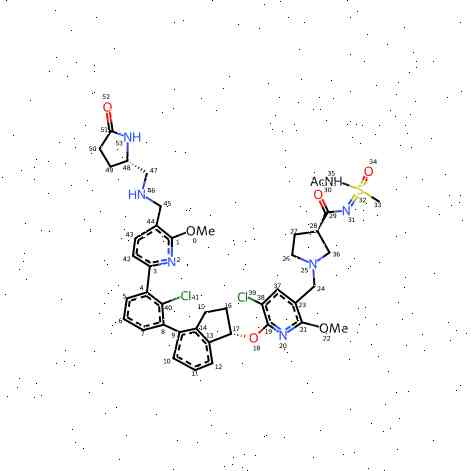 COc1nc(-c2cccc(-c3cccc4c3CC[C@@H]4Oc3nc(OC)c(CN4CC[C@@H](C(=O)N=S(C)(=O)NC(C)=O)C4)cc3Cl)c2Cl)ccc1CNC[C@@H]1CCC(=O)N1